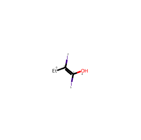 CCC(I)=C(O)I